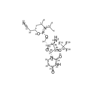 CC(C)N(C(C)C)P(OCCC#N)OC[C@H]1O[C@@H](n2ccc(=O)[nH]c2=O)[C@H](OC(F)(F)F)[C@@H]1N